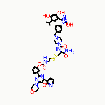 CC(C)c1cc(-c2nnc(O)n2-c2ccc(CN3CCN(C(=O)NC(CSSCCNC(=O)Oc4cccc(-c5nc(N6CCOCC6)c6oc7ncccc7c6n5)c4)C(N)=O)CC3)cc2)c(O)cc1O